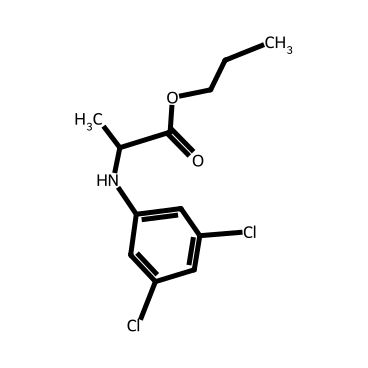 CCCOC(=O)C(C)Nc1cc(Cl)cc(Cl)c1